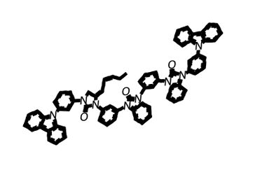 CC/C=C\C=C1/CN(c2cccc(-n3c4ccccc4c4ccccc43)c2)C(=O)N1c1cccc(-n2c(=O)n(-c3cccc(-n4c(=O)n(-c5cccc(-n6c7ccccc7c7ccccc76)c5)c5ccccc54)c3)c3ccccc32)c1